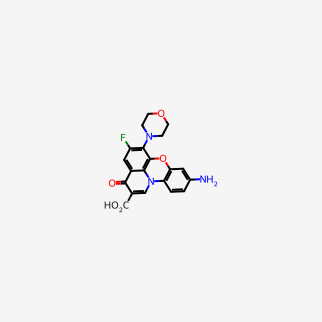 Nc1ccc2c(c1)Oc1c(N3CCOCC3)c(F)cc3c(=O)c(C(=O)O)cn-2c13